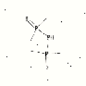 CP(C)(=S)PP(C)(C)=S